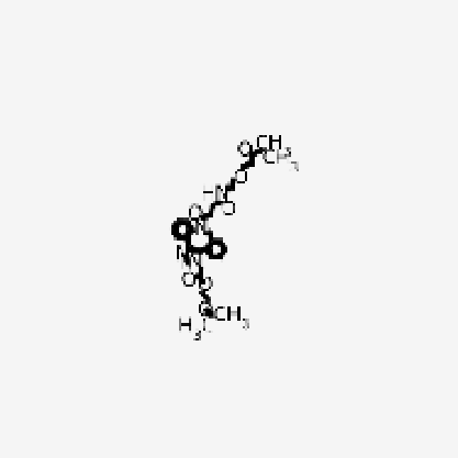 CC(C)OCCOC(=O)Cn1nnc2c1-c1ccccc1CN(C(=O)CCC(=O)NCCOCCC(=O)C(C)C)c1ccccc1-2